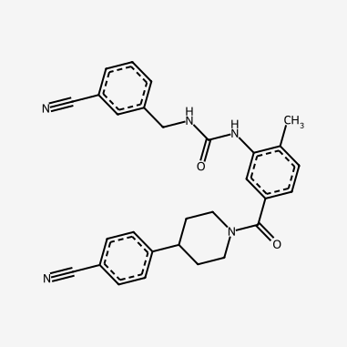 Cc1ccc(C(=O)N2CCC(c3ccc(C#N)cc3)CC2)cc1NC(=O)NCc1cccc(C#N)c1